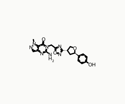 Cn1ncc2nc(N)n(Cc3nc([C@@H]4CO[C@@H](c5ccc(O)cc5)C4)no3)c(=O)c21